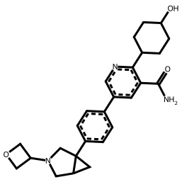 NC(=O)c1cc(-c2ccc(C34CC3CN(C3COC3)C4)cc2)cnc1C1CCC(O)CC1